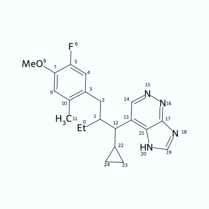 CCC(Cc1cc(F)c(OC)cc1C)C(c1cnnc2nc[nH]c12)C1CC1